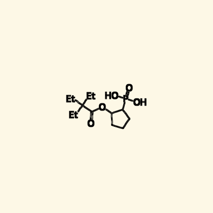 CCC(CC)(CC)C(=O)OC1CCCC1P(=O)(O)O